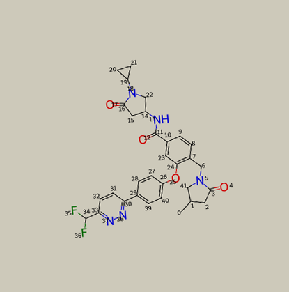 CC1CC(=O)N(Cc2ccc(C(=O)NC3CC(=O)N(C4CC4)C3)cc2Oc2ccc(-c3ccc(C(F)F)nn3)cc2)C1